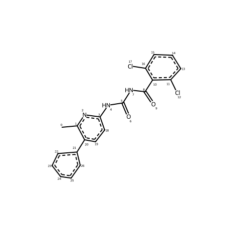 Cc1nc(NC(=O)NC(=O)c2c(Cl)cccc2Cl)ccc1-c1ccccc1